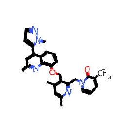 Cc1cc(C)c(COc2cccc3c(-c4ccnn4C)cc(C)nc23)c(Cn2cccc(C(F)(F)F)c2=O)n1